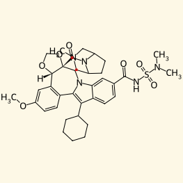 COc1ccc2c(c1)[C@@H]1OCO[C@]1(C(=O)N1C3CCC1CN(C)C3)Cn1c-2c(C2CCCCC2)c2ccc(C(=O)NS(=O)(=O)N(C)C)cc21